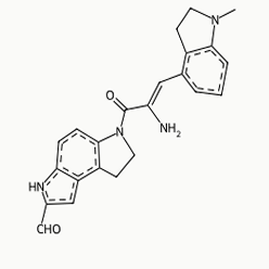 CN1CCc2c(/C=C(\N)C(=O)N3CCc4c3ccc3[nH]c(C=O)cc43)cccc21